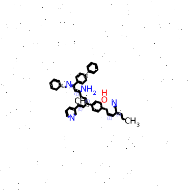 CC/C=C(C#N)\C=C/CC1C=CC(C(=C/C/C(N)=C/C(=N\C[C@H]2C=CC=CC2)C2=CC[C@@H](c3ccccc3)C=C2)/C=C(\C)c2cccnc2)=CC1O